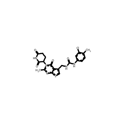 Cc1ccc(NC(=O)NCc2csc3nc(C)n(C4CCC(=O)NC4=O)c(=O)c23)cc1Cl